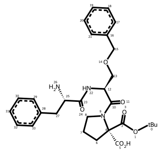 CC(C)(C)OC(=O)[C@@]1(C(=O)O)CCCN1C(=O)[C@H](COCc1ccccc1)NC(=O)[C@@H](N)Cc1ccccc1